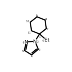 CCC1(n2cccn2)CCCCC1